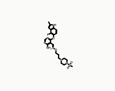 Cc1cc2c(F)c(Oc3ncnc(N)c3/C=N/OCCCN3CCN(S(C)(=O)=O)CC3)ccc2[nH]1